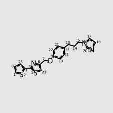 c1csc(-c2nc(COc3ccc(CCCn4ccnc4)cc3)cs2)c1